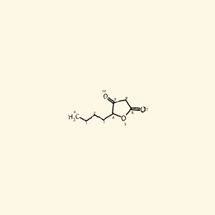 CCCCC1OC(=O)CC1=O